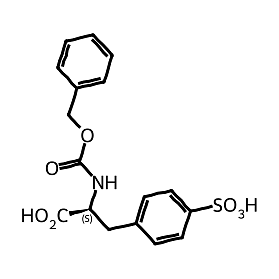 O=C(N[C@@H](Cc1ccc(S(=O)(=O)O)cc1)C(=O)O)OCc1ccccc1